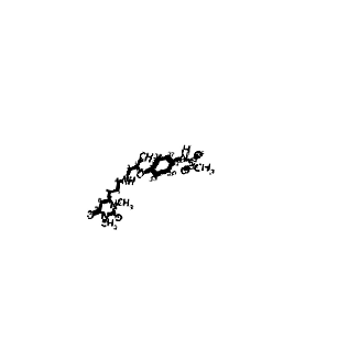 CC(CNCCCc1cc(=O)n(C)c(=O)n1C)Oc1ccc(NS(C)(=O)=O)cc1